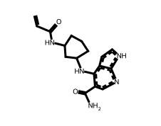 C=CC(=O)NC1CCCC(Nc2c(C(N)=O)cnc3[nH]ccc23)C1